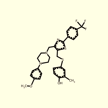 COc1ccc(N2CCN(Cc3nc(-c4ccc(C(F)(F)F)cc4)sc3CSc3ccc(O)c(C)c3)CC2)cc1